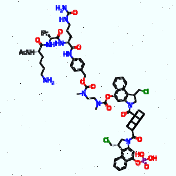 CC(=O)N[C@@H](CCCCN)C(=O)N[C@H](C(=O)N[C@@H](CCCNC(N)=O)C(=O)Nc1ccc(COC(=O)N(C)CCN(C)C(=O)Oc2cc3c(c4ccccc24)C(CCl)CN3C(=O)C23C4C5C2C2C3C4C52C(=O)N2C[C@@H](CCl)c3c2cc(OP(=O)(O)O)c2ccccc32)cc1)C(C)C